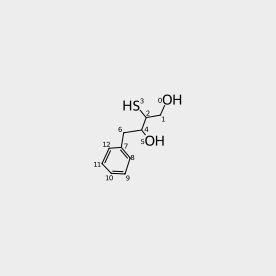 OCC(S)C(O)Cc1ccccc1